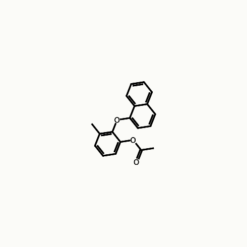 CC(=O)Oc1cccc(C)c1Oc1cccc2ccccc12